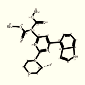 C[C@@H]1COCCN1c1nc(-c2cccc3[nH]ccc23)cc(N(C(=O)OC(C)(C)C)C(=O)OC(C)(C)C)n1